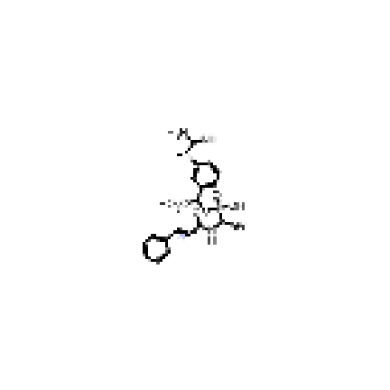 CC(C)C(NC(=O)/C=C/c1ccccc1)P(=O)(O)OC(C(=O)O)c1cccc(NC(=N)N)c1